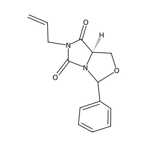 C=CCN1C(=O)[C@H]2COC(c3ccccc3)N2C1=O